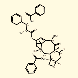 CC(=O)O[C@H]1C(=O)[C@@]2(C)C([C@H](OC(=O)c3ccccc3)[C@]3(O)CC(OC(=O)[C@H](O)[C@@H](NC(=O)c4ccccc4)C4C=CC=CC4)C=C1C3(C)C)[C@]1(OC(C)=O)CO[C@@H]1C[C@@H]2O